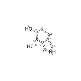 Cl.Oc1ccc2c[nH]cc2c1